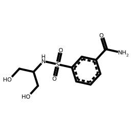 NC(=O)c1cccc(S(=O)(=O)NC(CO)CO)c1